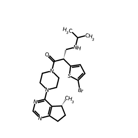 CC(C)NC[C@@H](C(=O)N1CCN(c2ncnc3c2[C@H](C)CC3)CC1)c1ccc(Br)s1